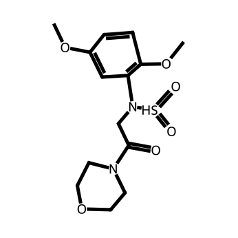 COc1ccc(OC)c(N(CC(=O)N2CCOCC2)[SH](=O)=O)c1